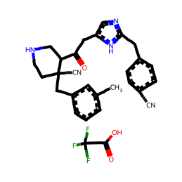 Cc1cccc(CC2(C#N)CCNCC2C(=O)Cc2cnc(Cc3ccc(C#N)cc3)[nH]2)c1.O=C(O)C(F)(F)F